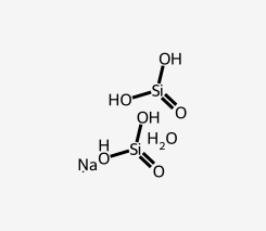 O.O=[Si](O)O.O=[Si](O)O.[Na]